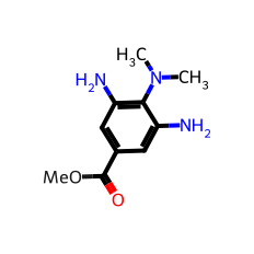 COC(=O)c1cc(N)c(N(C)C)c(N)c1